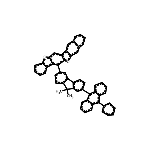 CC1(C)c2ccc(-c3c4oc5cc6ccccc6cc5c4cc4oc5ccccc5c34)cc2-c2ccc(-c3c4ccccc4c(-c4ccccc4)c4ccccc34)cc21